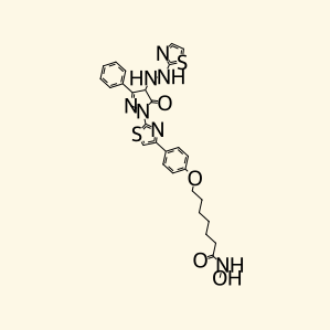 O=C(CCCCCCOc1ccc(-c2csc(N3N=C(c4ccccc4)C(NNc4nccs4)C3=O)n2)cc1)NO